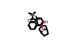 CN(C)C(=O)CCC1(O)CC2CCC(C1)N2c1ccc(C#N)c2ccccc12